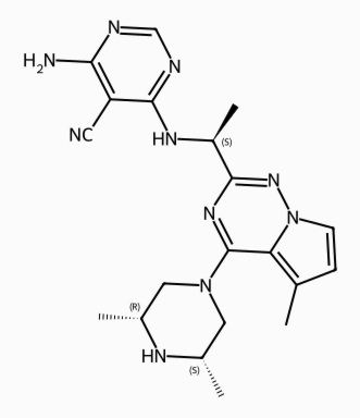 Cc1ccn2nc([C@H](C)Nc3ncnc(N)c3C#N)nc(N3C[C@@H](C)N[C@@H](C)C3)c12